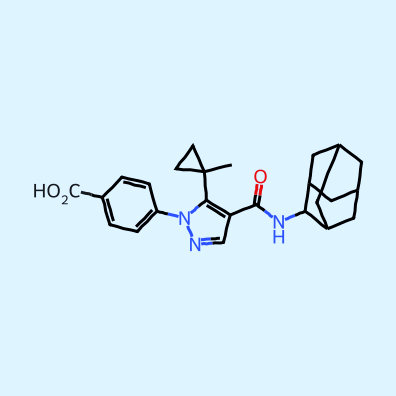 CC1(c2c(C(=O)NC3C4CC5CC(C4)CC3C5)cnn2-c2ccc(C(=O)O)cc2)CC1